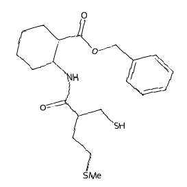 CSCCC(CS)C(=O)NC1CCCCC1C(=O)OCc1ccccc1